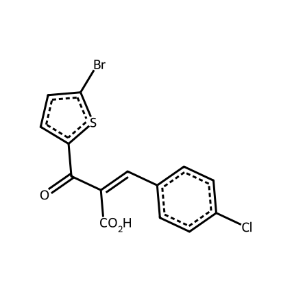 O=C(O)/C(=C\c1ccc(Cl)cc1)C(=O)c1ccc(Br)s1